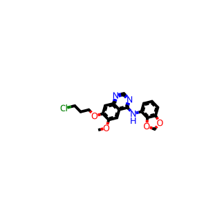 COc1cc2c(Nc3cccc4c3OCO4)ncnc2cc1OCCCCl